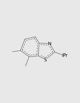 Cc1ccc2nc(C(C)C)sc2c1C